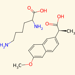 COc1ccc2cc([C@H](C)C(=O)O)ccc2c1.NCCCCC(N)C(=O)O